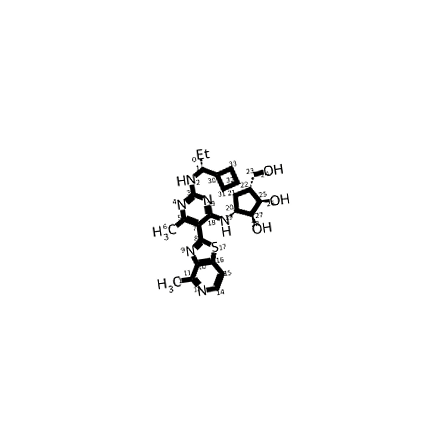 CC[C@@H](Nc1nc(C)c(-c2nc3c(C)nccc3s2)c(N[C@@H]2C[C@H](CO)[C@@H](O)[C@H]2O)n1)C1CCC1